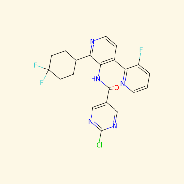 O=C(Nc1c(-c2ncccc2F)ccnc1C1CCC(F)(F)CC1)c1cnc(Cl)nc1